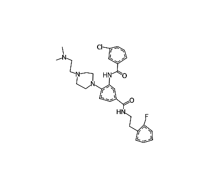 CN(C)CCN1CCN(c2ccc(C(=O)NCCc3ccccc3F)cc2NC(=O)c2cccc(Cl)c2)CC1